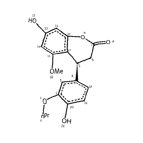 CCCOc1cc([C@@H]2CC(=O)Oc3cc(O)cc(OC)c32)ccc1O